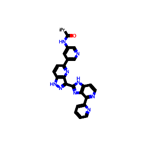 CC(C)C(=O)Nc1cncc(-c2ccc3[nH]nc(-c4nc5c(-c6ccccn6)nccc5[nH]4)c3n2)c1